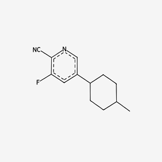 CC1CCC(c2cnc(C#N)c(F)c2)CC1